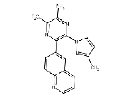 Cc1ccn(-c2nc(N)c(C(F)(F)F)nc2-c2ccc3ncccc3c2)n1